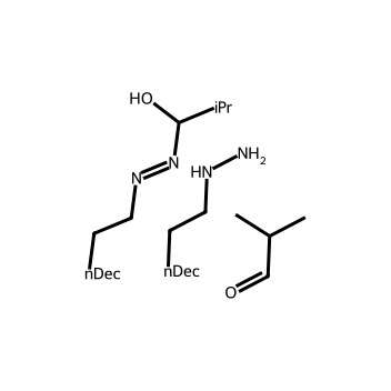 CC(C)C=O.CCCCCCCCCCCCN=NC(O)C(C)C.CCCCCCCCCCCCNN